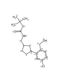 CC(C)(C)OC(=O)NCC1CCN(c2nc(Cl)ncc2CO)C1